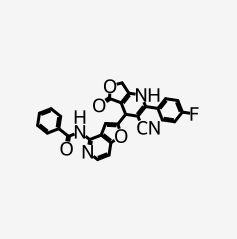 N#CC1=C(c2ccc(F)cc2)NC2=C(C(=O)OC2)C1c1cc2c(NC(=O)c3ccccc3)nccc2o1